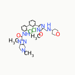 COc1nc(-c2cccc(-c3cccc(NC(=O)c4nc5c(n4C)CCN(C)C5)c3Cl)c2Cl)cnc1CNC1CCOCC1